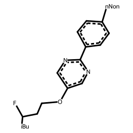 CCCCCCCCCc1ccc(-c2ncc(OCCC(F)C(C)CC)cn2)cc1